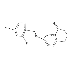 N#Cc1ccc(COc2ccc3c(c2)C(=O)NCC3)c(F)c1